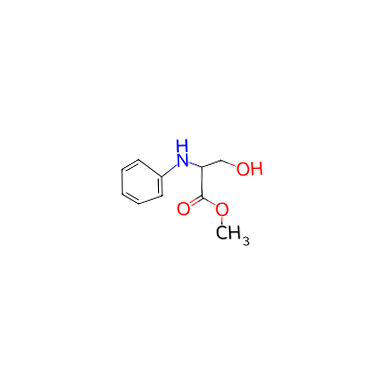 COC(=O)C(CO)Nc1ccccc1